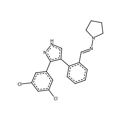 Clc1cc(Cl)cc(-c2n[nH]cc2-c2ccccc2C=NN2CCCC2)c1